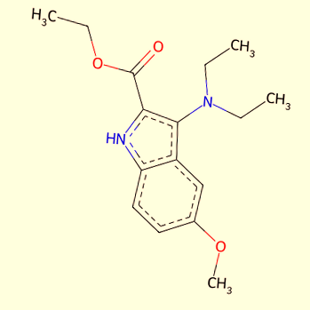 CCOC(=O)c1[nH]c2ccc(OC)cc2c1N(CC)CC